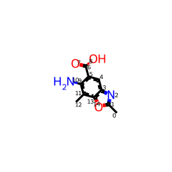 Cc1nc2cc(C(=O)O)c(N)c(C)c2o1